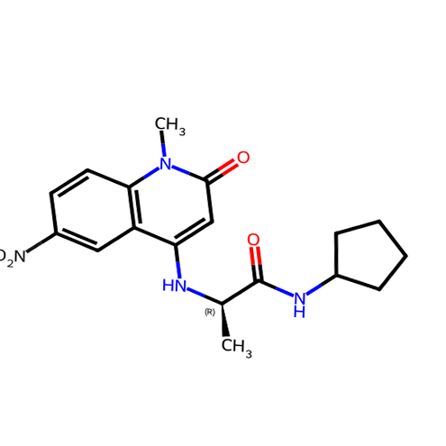 C[C@@H](Nc1cc(=O)n(C)c2ccc([N+](=O)[O-])cc12)C(=O)NC1CCCC1